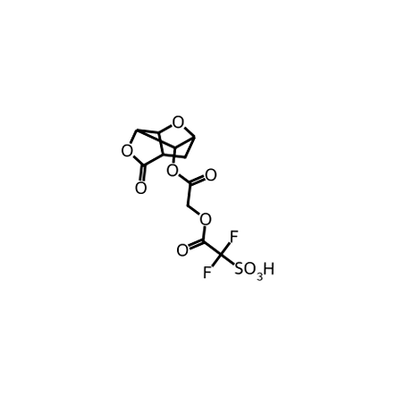 O=C(COC(=O)C(F)(F)S(=O)(=O)O)OC1C2CC3C(=O)OC1C3O2